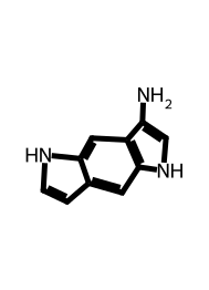 Nc1c[nH]c2cc3cc[nH]c3cc12